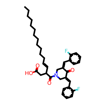 CCCCCCCCCCCC/C=C/C(CC(=O)O)C(=O)N1C/C(=C/c2ccccc2F)C(=O)/C(=C/c2ccccc2F)C1